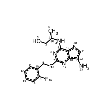 C[C@H](CO)Nc1nc(SCc2ccccc2F)nc2c1ncn2N